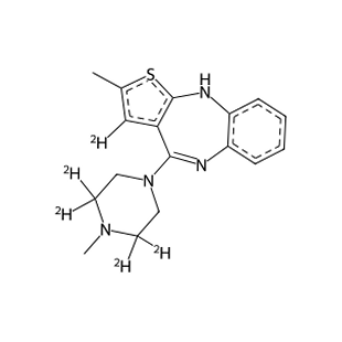 [2H]c1c(C)sc2c1C(N1CC([2H])([2H])N(C)C([2H])([2H])C1)=Nc1ccccc1N2